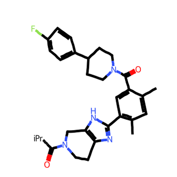 Cc1cc(C)c(-c2nc3c([nH]2)CN(C(=O)C(C)C)CC3)cc1C(=O)N1CCC(c2ccc(F)cc2)CC1